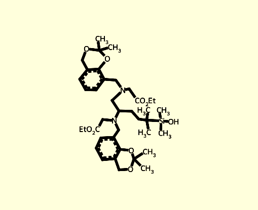 CCOC(=O)CN(Cc1cccc2c1OC(C)(C)OC2)CC(CCC(C)(C)[Si](C)(C)O)N(CC(=O)OCC)Cc1cccc2c1OC(C)(C)OC2